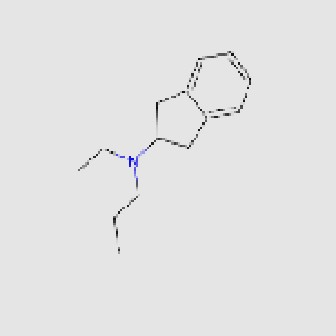 CCCN(CC)C1Cc2ccccc2C1